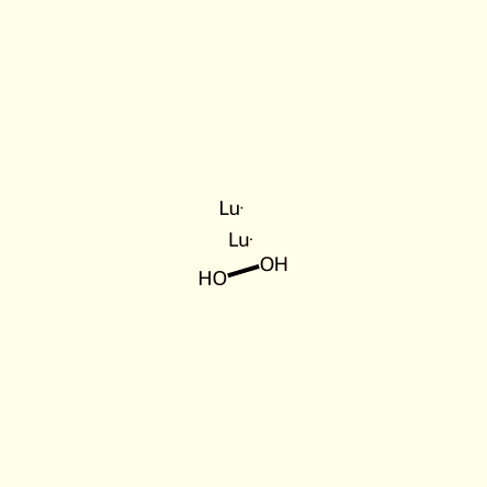 OO.[Lu].[Lu]